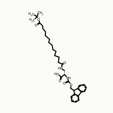 CC(C)(C)OC(=O)CCCCCCCCCCCCC(=O)NC[C@H](NC(=O)OCC1c2ccccc2-c2ccccc21)C(=O)O